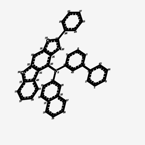 c1ccc(-c2cccc(N(c3ccc4ccccc4c3)c3c4nc(-c5ccccc5)oc4cc4oc5ccccc5c34)c2)cc1